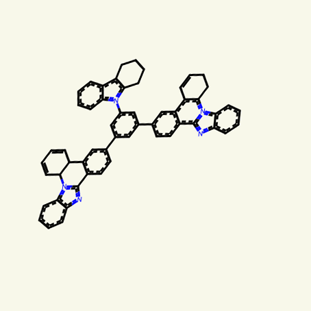 C1=CC2c3cc(-c4cc(-c5ccc6c(c5)c5c(n7c8ccccc8nc67)CCC=C5)cc(-n5c6c(c7ccccc75)CCCC6)c4)ccc3-c3nc4ccccc4n3C2C=C1